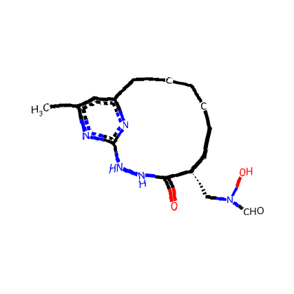 Cc1cc2nc(n1)NNC(=O)[C@@H](CN(O)C=O)CCCCCC2